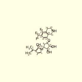 C=C(C)c1ccn(C2CC(Oc3cc(C(F)F)c(F)c4c3CNCC4)[C@@H](O)[C@H]2O)c1C